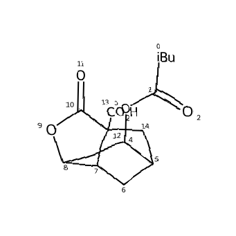 CCC(C)C(=O)OC1C2CC3C1OC(=O)C3(C(=O)O)C2